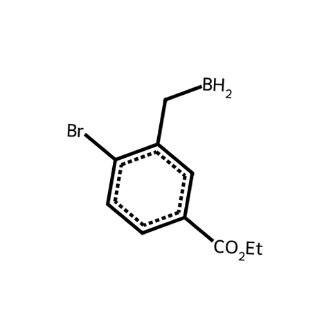 BCc1cc(C(=O)OCC)ccc1Br